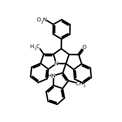 Cc1c(C23c4ccccc4C(=O)C2C(c2cccc([N+](=O)[O-])c2)c2c(C)c4ccccc4n23)[nH]c2ccccc12